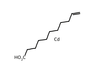 C=CCCCCCCCCC(=O)O.[Cd]